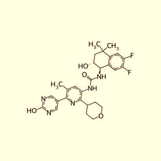 Cc1cc(NC(=O)N[C@@H]2c3cc(F)c(F)cc3C(C)(C)C[C@H]2O)c(C2CCOCC2)nc1-c1cnc(O)nc1